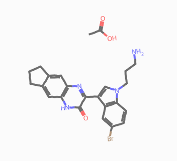 CC(=O)O.NCCCn1cc(-c2nc3cc4c(cc3[nH]c2=O)CCC4)c2cc(Br)ccc21